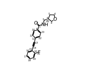 O=C(NC[C@H]1CCOC1)c1ccc(C#Cc2ccccc2F)cc1